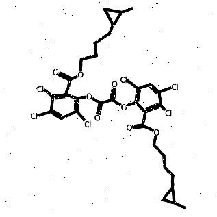 CC1CC1CCCCOC(=O)c1c(Cl)c(Cl)cc(Cl)c1OC(=O)C(=O)Oc1c(Cl)cc(Cl)c(Cl)c1C(=O)OCCCCC1CC1C